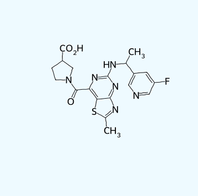 Cc1nc2nc(NC(C)c3cncc(F)c3)nc(C(=O)N3CCC(C(=O)O)C3)c2s1